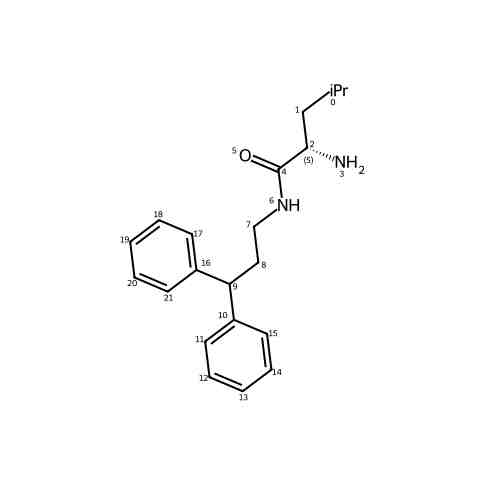 CC(C)C[C@H](N)C(=O)NCCC(c1ccccc1)c1ccccc1